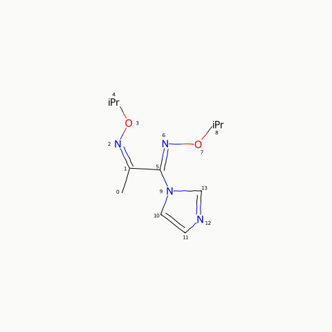 CC(=N/OC(C)C)/C(=N/OC(C)C)n1ccnc1